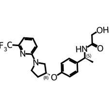 C[C@H](NC(=O)CO)c1ccc(O[C@@H]2CCN(c3cccc(C(F)(F)F)n3)C2)cc1